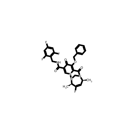 C[C@@H]1C(F)=C[C@H](C)N2CN1n1cc(C(=O)NCc3c(F)cc(F)cc3F)c(=O)c(OCc3ccccc3)c1C2=O